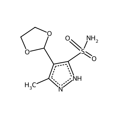 Cc1n[nH]c(S(N)(=O)=O)c1C1OCCO1